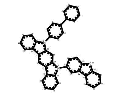 c1ccc(-c2ccc(-n3c4ccccc4c4cc5c6ccccc6n(-c6ccc7sc8ccccc8c7c6)c5cc43)cc2)cc1